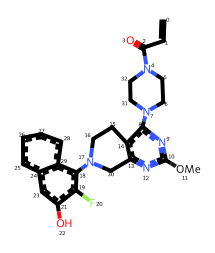 C=CC(=O)N1CCN(c2nc(OC)nc3c2CCN(c2c(F)c(O)cc4ccccc24)C3)CC1